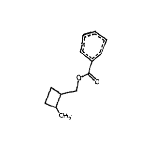 [CH2]C1CCC1COC(=O)c1ccccc1